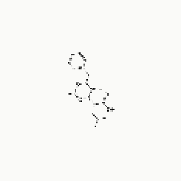 CC(=O)SC(Cc1ccccc1)C(=O)N[C@@H](CC(C)C)C(=O)O